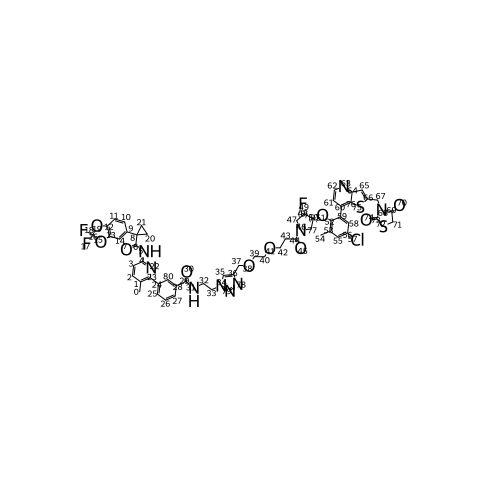 Cc1ccc(NC(=O)C2(c3ccc4c(c3)OC(F)(F)O4)CC2)nc1-c1cccc(C(=O)NCCn2cc(COCCOCCC(=O)N3C[C@H](F)[C@H](Oc4c(C)cc(Cl)cc4-c4ccnc5cc(CN6C(=O)CSC6=O)sc45)C3)nn2)c1